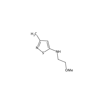 COCCNc1cc(C)ns1